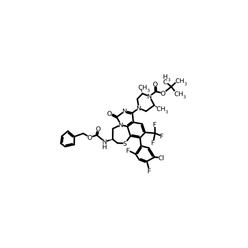 C[C@@H]1CN(c2nc(=O)n3c4c(c(-c5cc(Cl)c(F)cc5F)c(C(F)(F)F)cc24)SC[C@@H](NC(=O)OCc2ccccc2)C3)C[C@H](C)N1C(=O)OC(C)(C)C